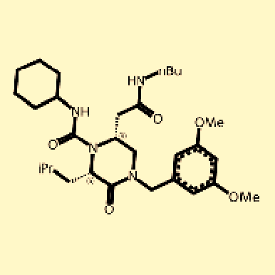 CCCCNC(=O)C[C@@H]1CN(Cc2cc(OC)cc(OC)c2)C(=O)[C@H](CC(C)C)N1C(=O)NC1CCCCC1